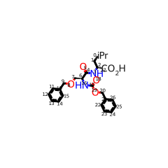 CC(C)C[C@H](NC(=O)[C@H](COCc1ccccc1)NC(=O)OCc1ccccc1)C(=O)O